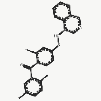 Cc1ccc(C)c(C(=O)c2ccc(SNc3cncc4ccccc34)cc2Cl)c1